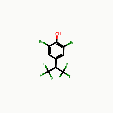 Oc1c(Br)cc(C(C(F)(F)F)C(F)(F)F)cc1Br